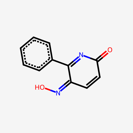 O=C1C=C/C(=N/O)C(c2ccccc2)=N1